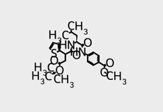 COC(=O)c1ccc(NC(=O)[C@H](CC(C)C)NC(=O)C(CC(=O)OC(C)(C)C)c2cccs2)cc1